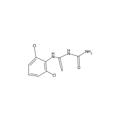 NC(=O)NC(=S)Nc1c(Cl)cccc1Cl